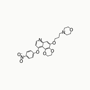 O=[N+]([O-])c1ccc(Oc2ccnc3cc(OCCCN4CCOCC4)c4c(c23)OCCO4)cc1